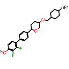 CCCC1CCC(COC2CCC(c3ccc(-c4ccc(OCC)c(F)c4F)cc3)OC2)CC1